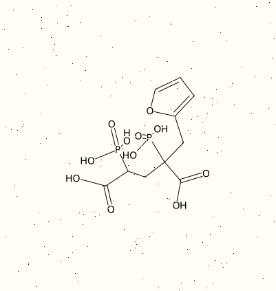 O=C(O)C(CC(Cc1ccco1)(C(=O)O)P(=O)(O)O)P(=O)(O)O